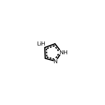 [LiH].c1cn[nH]c1